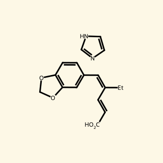 CCC(C=CC(=O)O)=Cc1ccc2c(c1)OCO2.c1c[nH]cn1